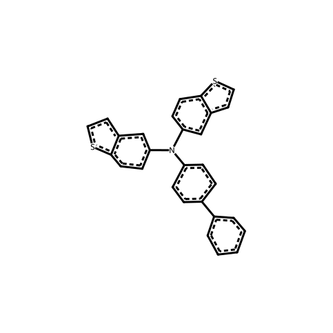 c1ccc(-c2ccc(N(c3ccc4sccc4c3)c3ccc4sccc4c3)cc2)cc1